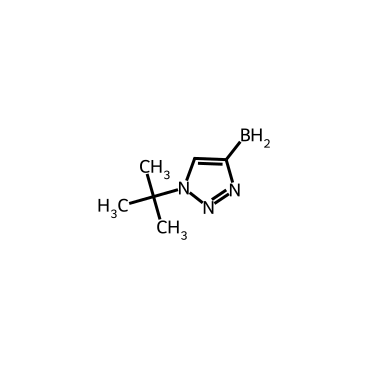 Bc1cn(C(C)(C)C)nn1